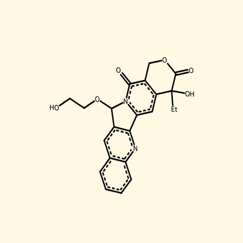 CCC1(O)C(=O)OCc2c1cc1n(c2=O)C(OCCO)c2cc3ccccc3nc2-1